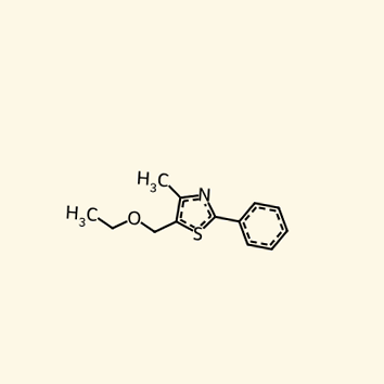 CCOCc1sc(-c2ccccc2)nc1C